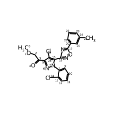 COCC(=O)c1nn(-c2ccccc2Cl)c(-c2noc(-c3cccc(C)c3)n2)c1Cl